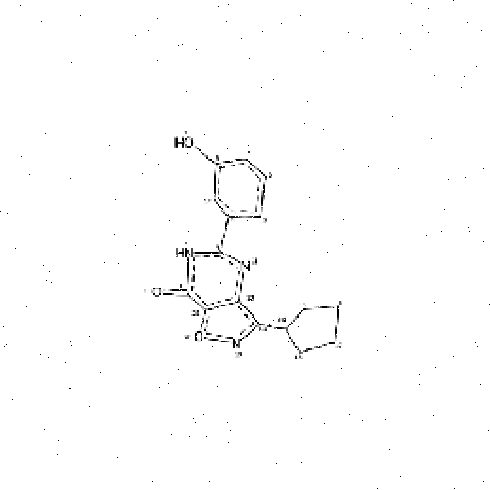 O=c1[nH]c(-c2cccc(O)c2)nc2c(C3CCCC3)noc12